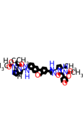 CC[C@H]1CC[C@@H](c2ncc(-c3ccc4c(c3)COc3cc5c(ccc6nc([C@@H]7C[C@@H]8CCC[C@@H]8N7C(=O)[C@@H](NC(=O)OC)C(C)C)[nH]c65)cc3-4)[nH]2)N1C(=O)C(NC(=O)OC)C1CCOCC1